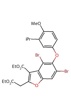 CCOC(=O)Cc1oc2cc(Br)c(Oc3ccc(OC)c(C(C)C)c3)c(Br)c2c1C(=O)OCC